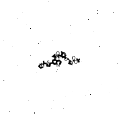 Cc1ccc(OC[C@@H]2CCN2C(=O)OC(C)(C)C)cc1C(=O)NC1(c2cc(-c3ccc(C(C)N4CCCC4)s3)cc3ncccc23)CC1